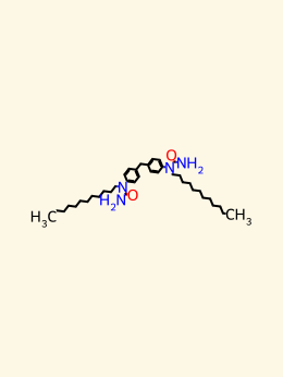 CCCCCCCCCCCCN(C(N)=O)c1ccc(Cc2ccc(N(CCCCCCCCCCCC)C(N)=O)cc2)cc1